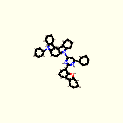 c1ccc(-c2cc(-n3c4ccccc4c4c5c6ccccc6n(-c6ccccc6)c5ccc43)nc(-c3cccc4c3oc3ccccc34)n2)cc1